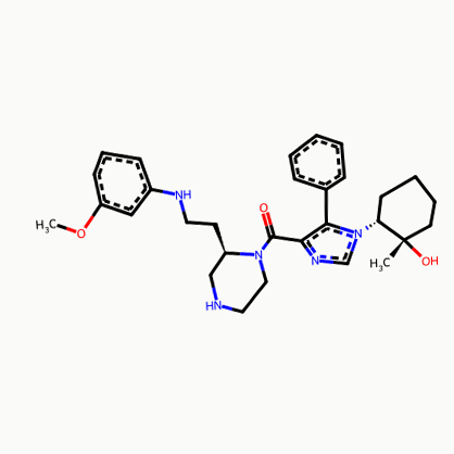 COc1cccc(NCC[C@@H]2CNCCN2C(=O)c2ncn([C@@H]3CCCC[C@]3(C)O)c2-c2ccccc2)c1